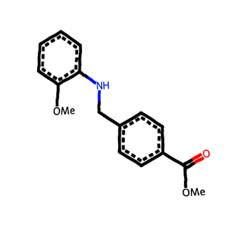 COC(=O)c1ccc(CNc2ccccc2OC)cc1